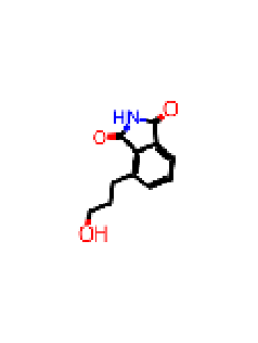 O=C1NC(=O)c2c(CCCO)cccc21